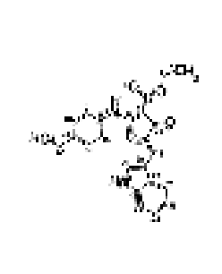 CCOC(=O)C1=C(Nc2ccc(CO)cc2)OC(=Cc2c[nH]c3ncccc23)C1=O